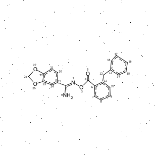 N/C(=N\OC(=O)c1ccccc1Cc1ccccc1)c1ccc2c(c1)OCO2